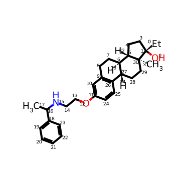 CC[C@]1(O)CC[C@H]2[C@@H]3CCc4cc(OCCNC(C)c5ccccc5)ccc4[C@H]3CC[C@@]21C